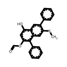 CSc1cc2c(-c3ccccc3)c(OC=O)cc(O)c2cc1-c1ccccc1